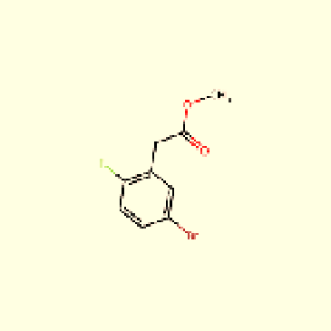 COC(=O)Cc1cc(Br)ccc1F